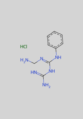 Cl.N=C(N)NC(=NCN)Nc1ccccc1